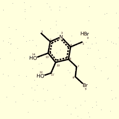 Br.Cc1nc(C)c(CCBr)c(CO)c1O